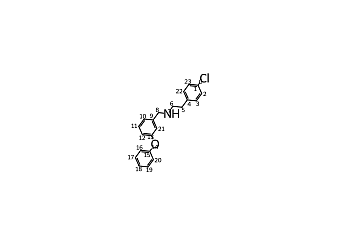 Clc1ccc(CCNCc2cccc(Oc3ccccc3)c2)cc1